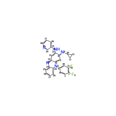 Fc1ccc(-n2c3c/c(=N\C4CC4)c(Nc4cccnc4)cc-3nc3ccccc32)cc1F